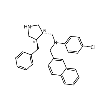 Clc1ccc(N(Cc2ccc3ccccc3c2)C[C@H]2CNC[C@@H]2Cc2ccccc2)cc1